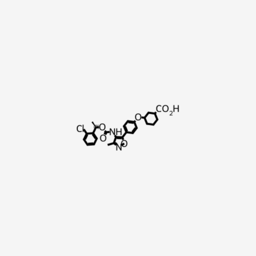 Cc1noc(-c2ccc(OC3CCCC(C(=O)O)C3)cc2)c1NC(=O)O[C@H](C)c1ccccc1Cl